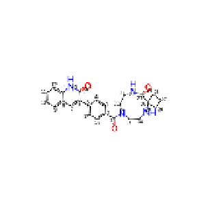 O=C(c1ccc(-c2cc3ccccc3[nH]c2=O)cc1)N1CCNC(=O)C2(CCC2)NCC1